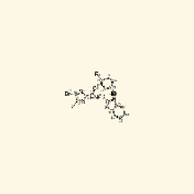 Cc1nc(C(=O)N[C@H](c2cc3ccccc3[nH]2)c2cc(F)ccc2O)sc1Br